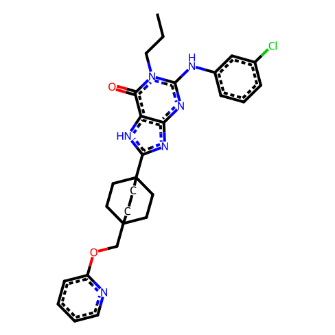 CCCn1c(Nc2cccc(Cl)c2)nc2nc(C34CCC(COc5ccccn5)(CC3)CC4)[nH]c2c1=O